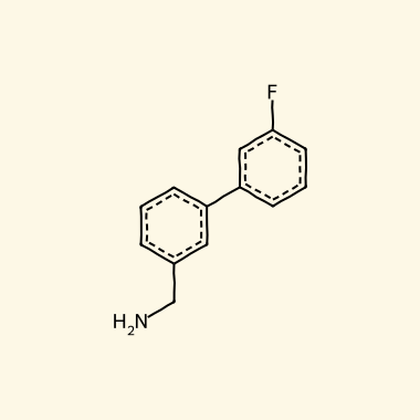 NCc1cccc(-c2cccc(F)c2)c1